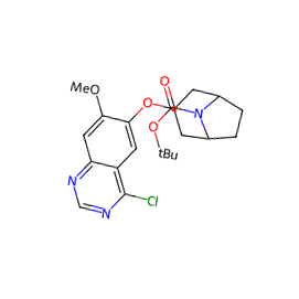 COc1cc2ncnc(Cl)c2cc1OC1CC2CCC(C1)N2C(=O)OC(C)(C)C